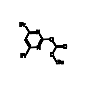 CC(C)c1cc(C(C)C)nc(OC(=O)OC(C)(C)C)n1